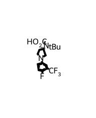 CC(C)(C)N(C(=O)O)[C@@H]1CCN(c2ccc(F)c(C(F)(F)F)c2)C1